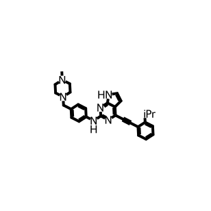 CC(C)c1ccccc1C#Cc1nc(Nc2ccc(CN3CCN(C)CC3)cc2)nc2[nH]ccc12